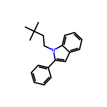 CC(C)(C)CCn1c(-c2ccccc2)cc2ccccc21